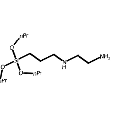 CCCO[Si](CCCNCCN)(OCCC)OCCC